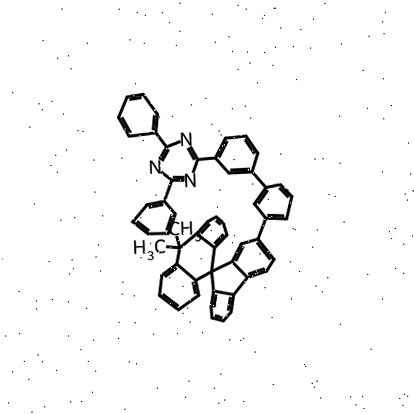 CC1(C)c2ccccc2C2(c3ccccc3-c3ccc(-c4cccc(-c5cccc(-c6nc(-c7ccccc7)nc(-c7ccccc7)n6)c5)c4)cc32)c2ccccc21